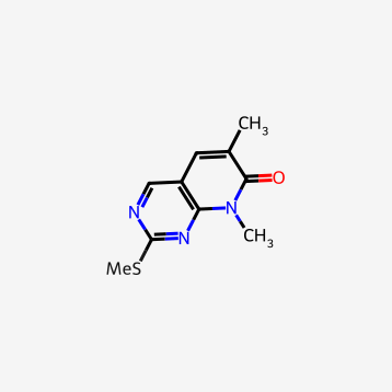 CSc1ncc2cc(C)c(=O)n(C)c2n1